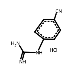 Cl.N#Cc1ccc(NC(=N)N)cc1